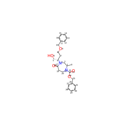 CC1CN([C@H](CO)CCOCc2ccccc2)C(=O)CCN1C(=O)OCc1ccccc1